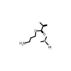 C=C(C)C(=O)OCCCN.CN(C)C.I